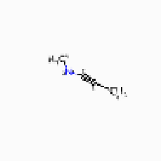 CC#C[N]C